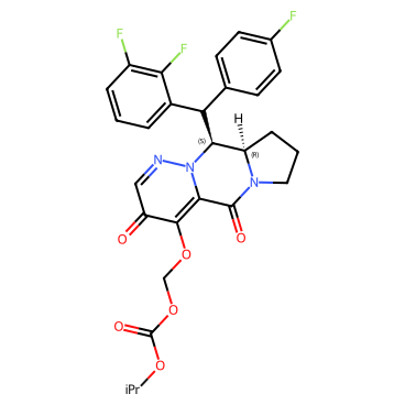 CC(C)OC(=O)OCOc1c2n(ncc1=O)[C@@H](C(c1ccc(F)cc1)c1cccc(F)c1F)[C@H]1CCCN1C2=O